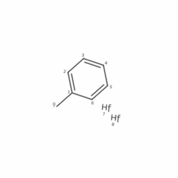 [CH2]c1ccccc1.[Hf].[Hf]